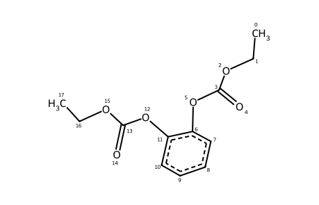 CCOC(=O)Oc1ccccc1OC(=O)OCC